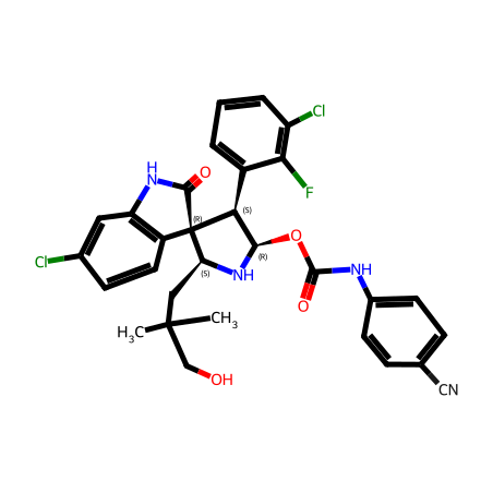 CC(C)(CO)C[C@@H]1N[C@H](OC(=O)Nc2ccc(C#N)cc2)[C@H](c2cccc(Cl)c2F)[C@]12C(=O)Nc1cc(Cl)ccc12